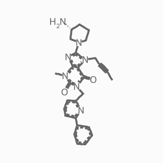 CC#CCn1c(N2CCC[C@@H](N)C2)nc2c1c(=O)n(Cc1cccc(-c3ccccc3)n1)c(=O)n2C